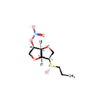 CCC[S@+]([O-])[C@@H]1CO[C@H]2[C@@H]1OC[C@H]2O[N+](=O)[O-]